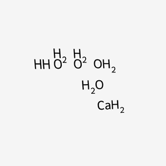 O.O.O.O.[CaH2].[HH]